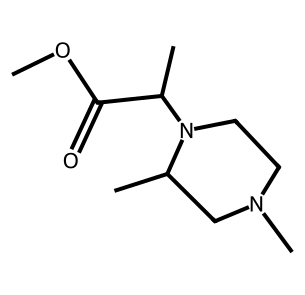 COC(=O)C(C)N1CCN(C)CC1C